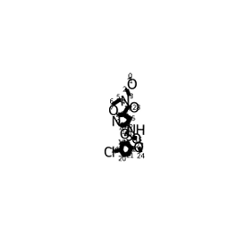 COCCN1CCOc2ncc(NS(=O)(=O)c3cc(Cl)ccc3OC)cc2C1=O